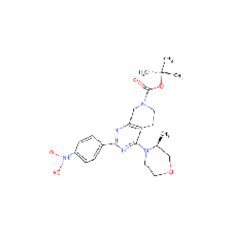 C[C@H]1COCCN1c1nc(-c2ccc([NH+]([O-])O)cc2)nc2c1CCN(C(=O)OC(C)(C)C)C2